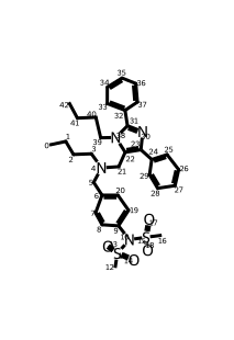 CCCCN(Cc1ccc(N(S(C)(=O)=O)S(C)(=O)=O)cc1)Cc1c(-c2ccccc2)nc(-c2ccccc2)n1CCCC